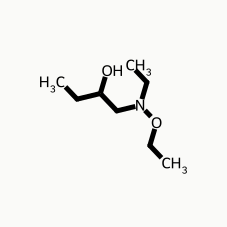 CCON(CC)CC(O)CC